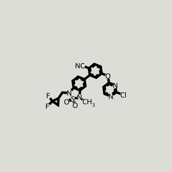 CN1c2cc(-c3cc(Oc4ccnc(Cl)n4)ccc3C#N)ccc2N(CC2CC2(F)F)S1(=O)=O